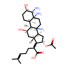 CC(=O)O[C@H]1C[C@@]2(C)[C@@H](C[C@@H](O)[C@@H]3[C@]2(N)CC[C@@]2(N)[C@H](N)[C@H](O)CC[C@]32C)/C1=C(\CCC=C(C)C)C(=O)O